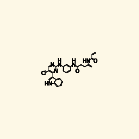 C=CC(=O)NC(=C)CCC(=O)Nc1cccc(Nc2ncc(Cl)c(-c3c[nH]c4ccccc34)n2)c1